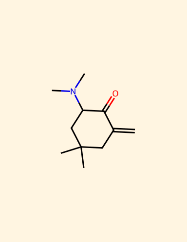 C=C1CC(C)(C)CC(N(C)C)C1=O